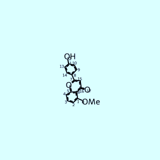 COc1cccc2oc(-c3ccc(O)cc3)cc(=O)c12